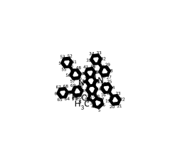 CC1(C)c2ccccc2-c2cc3c(N(c4ccc(-c5ccccc5)cc4)c4cccc(-c5ccccc5)c4)c4ccccc4c(N(c4ccc(-c5ccccc5)cc4)c4cccc(-c5ccccc5)c4)c3cc21